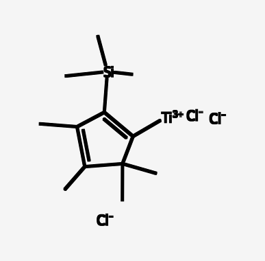 CC1=C(C)C(C)(C)[C]([Ti+3])=C1[Si](C)(C)C.[Cl-].[Cl-].[Cl-]